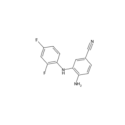 N#Cc1ccc(N)c(Nc2ccc(F)cc2F)c1